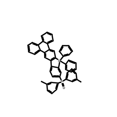 Cc1cccc(P(=O)(c2cccc(C)c2)c2ccc3c(c2)[Si](c2ccccc2)(c2ccccc2)c2cc4c5ccccc5c5ccccc5c4cc2-3)c1